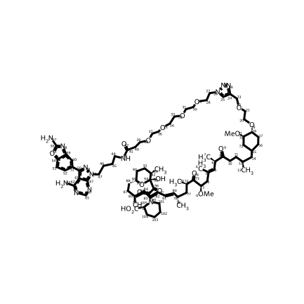 CO[C@H](C/C(C)=C/[C@@H](C)C(=O)CC[C@H](C)CC1CC[C@@H](OCCOCc2cn(CCOCCOCCOCCOCCC(=O)NCCCCn3nc(-c4ccc5oc(N)nc5c4)c4c(N)ncnc43)nn2)[C@H](OC)C1)C(=O)[C@H](C)C[C@H](C)/C=C/C=C/C=C(\C)CC[C@@H]1CC[C@@H](C)[C@](O)(C(=O)C(=O)N2CCCC[C@H]2C(=O)O)O1